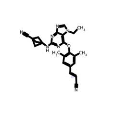 CCn1cnc2nc(NC34CC(C#N)(C3)C4)nc(Oc3c(C)cc(/C=C/C#N)cc3C)c21